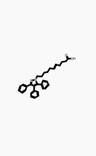 O=C(O)CCCC=CCCCCCn1nc(-c2ccccc2)c(-c2ccccc2)c1-c1ccccc1